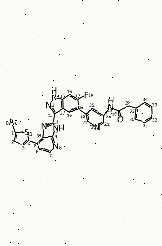 CC(=O)c1ccc(-c2ccnc3[nH]c(-c4n[nH]c5cc(F)c(-c6cncc(NC(=O)Cc7ccccc7)c6)cc45)nc23)s1